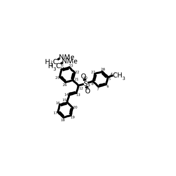 CNC.CNC.Cc1ccc(S(=O)(=O)C(C=Cc2ccccc2)c2ccccc2)cc1